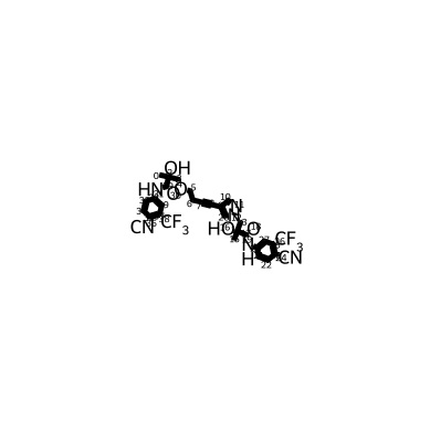 CC(O)(COCCC#Cc1cnn(CC(C)(O)C(=O)Nc2ccc(C#N)c(C(F)(F)F)c2)c1)C(=O)Nc1ccc(C#N)c(C(F)(F)F)c1